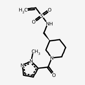 C=CS(=O)(=O)NC[C@H]1CCCN(C(=O)c2ccnn2C)C1